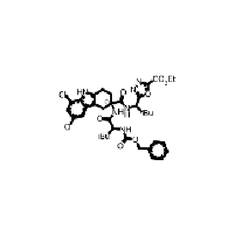 CCOC(=O)c1nnc(C(NC(=O)[C@@]2(NC(=O)C(NC(=O)OCc3ccccc3)C(C)CC)CCc3[nH]c4c(Cl)cc(Cl)cc4c3C2)C(C)CC)o1